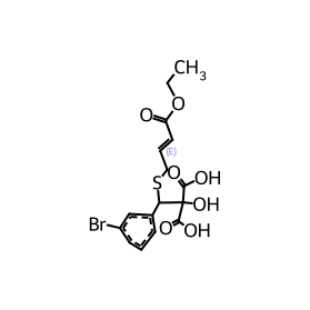 CCOC(=O)/C=C/CSC(c1cccc(Br)c1)C(O)(C(=O)O)C(=O)O